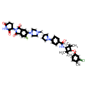 CC1(C)[C@H](NC(=O)c2ccc(N3CC[C@H](CN4CCN(c5cc6c(cc5F)C(=O)N(C5CCC(=O)NC5=O)C6=O)CC4)C3)cc2)C(C)(C)[C@H]1Oc1ccc(C#N)c(Cl)c1